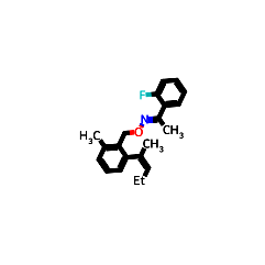 CC/C=C(/C)c1cccc(C)c1CO/N=C(\C)c1ccccc1F